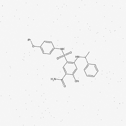 CC(C)Oc1ccc(NS(=O)(=O)c2cc(C(N)=O)c(O)cc2NC(C)c2ccccc2)cc1